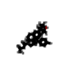 NC(=O)CC(=O)N1CC[C@@]2(S(=O)(=O)c3ccc(I)cc3)c3ccc(C(F)(C(F)(F)F)C(F)(F)F)cc3CC[C@@H]12